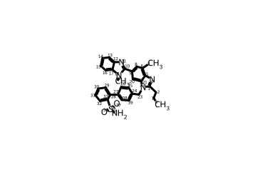 CCCc1nc2c(C)cc(-c3nc4ccccc4n3C)cc2n1Cc1ccc(-c2ccccc2S(N)(=O)=O)cc1